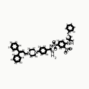 CC(C)(CSc1ccccc1)Nc1ccc(S(=O)(=O)/N=C(\N)c2ccc(N3CCN(CC=C(c4ccccc4)c4ccccc4)CC3)cc2)cc1[N+](=O)[O-]